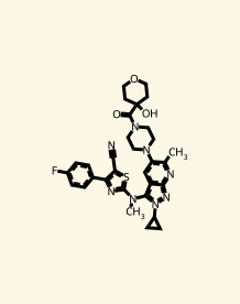 Cc1nc2nn(C3CC3)c(N(C)c3nc(-c4ccc(F)cc4)c(C#N)s3)c2cc1N1CCN(C(=O)C2(O)CCOCC2)CC1